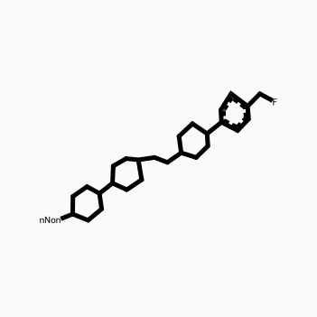 CCCCCCCCCC1CCC(C2CCC(CCC3CCC(c4ccc(CF)cc4)CC3)CC2)CC1